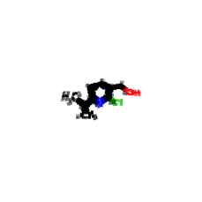 CC(C)c1ccc(CO)c(Cl)n1